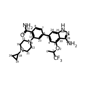 CC(Oc1cc(-c2ccc(C(N)=O)c(N3CCN(C4CC4)CC3)c2)cc2[nH]nc(N)c12)C(F)(F)F